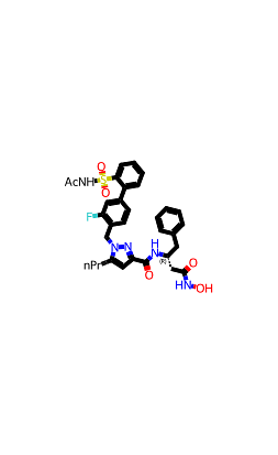 CCCc1cc(C(=O)N[C@@H](CC(=O)NO)Cc2ccccc2)nn1Cc1ccc(-c2ccccc2S(=O)(=O)NC(C)=O)cc1F